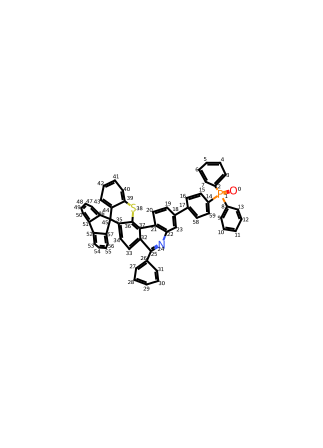 O=P(c1ccccc1)(c1ccccc1)c1ccc(-c2ccc3c(c2)nc(-c2ccccc2)c2ccc4c(c23)Sc2ccccc2C42c3ccccc3-c3ccccc32)cc1